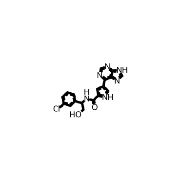 O=C(NC(CO)c1cccc(Cl)c1)c1cc(-c2ncnc3[nH]cnc23)c[nH]1